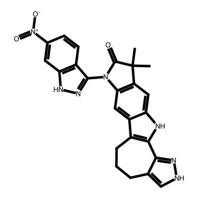 CC1(C)C(=O)N(c2n[nH]c3cc([N+](=O)[O-])ccc23)c2cc3c4c([nH]c3cc21)-c1n[nH]cc1CCC4